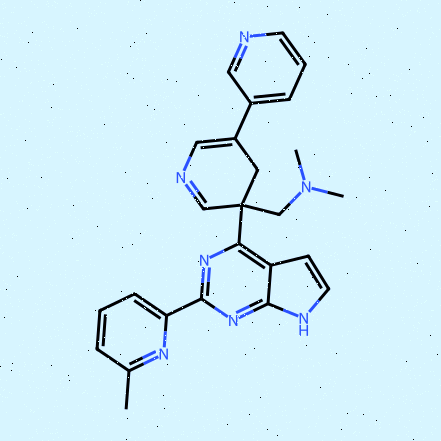 Cc1cccc(-c2nc(C3(CN(C)C)C=NC=C(c4cccnc4)C3)c3cc[nH]c3n2)n1